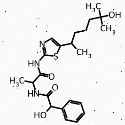 CC(NC(=O)C(O)c1ccccc1)C(=O)Nc1ncc(C(C)CCCC(C)(C)O)s1